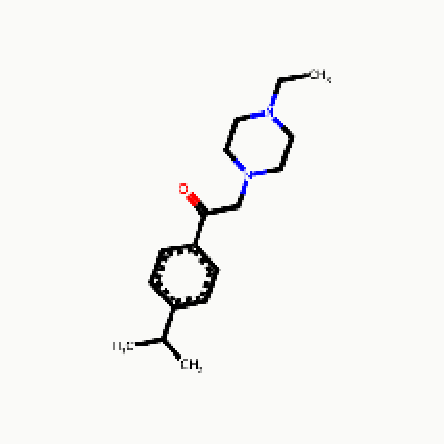 CCN1CCN(CC(=O)c2ccc(C(C)C)cc2)CC1